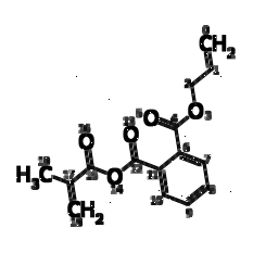 C=CCOC(=O)c1ccccc1C(=O)OC(=O)C(=C)C